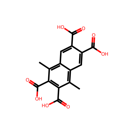 Cc1c(C(=O)O)c(C(=O)O)c(C)c2cc(C(=O)O)c(C(=O)O)cc12